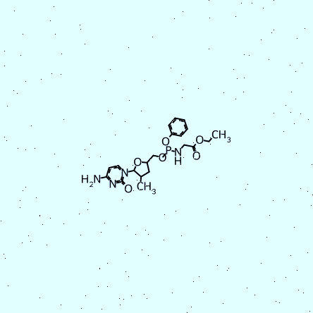 CCOC(=O)CNP(OCC1CC(C)C(n2ccc(N)nc2=O)O1)Oc1ccccc1